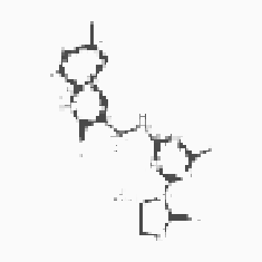 CC[C@H]1COC(=O)N1c1nc(C)nc(N[C@H](C)c2cc3cc(C)ccc3[nH]c2=O)n1